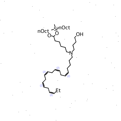 CC/C=C\C/C=C\C/C=C\C/C=C\C/C=C\CCCCN(CCCCO)CCCCCC(OCCCCCCCC)O[Si](C)(C)CCCCCCCC